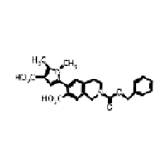 Cc1c(C(=O)O)cc(-c2cc3c(cc2C(=O)O)CN(C(=O)OCc2ccccc2)CC3)n1C